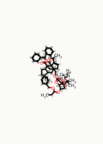 CCC(OCc1ccccc1)OC1C2OC3(O[SiH](C)C)OC(OCC45CC6C(C)CCC6C6(C=O)CC4C=C(C(C)C)C65C(=O)OC(c4ccccc4)c4ccccc4)(OC13)C2C(C)(C)C